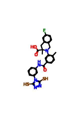 Cc1ccc(C(=O)Nc2cccc(-n3c(S)nnc3S)c2)cc1N1Cc2ccc(F)cc2CC1(C)C(=O)O